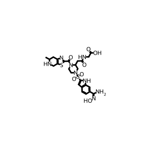 CC1Cc2nc(C(=O)N3CCN(S(=O)(=O)c4cc5ccc(/C(N)=N\O)cc5[nH]4)CC3CC(=O)NCC(=O)O)sc2CN1